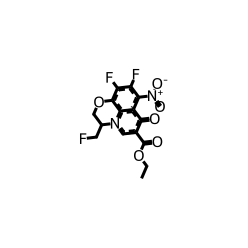 CCOC(=O)c1cn2c3c(c(F)c(F)c([N+](=O)[O-])c3c1=O)OCC2CF